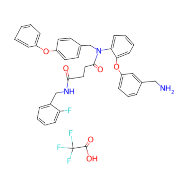 NCc1cccc(Oc2ccccc2N(Cc2ccc(Oc3ccccc3)cc2)C(=O)CCC(=O)NCc2ccccc2F)c1.O=C(O)C(F)(F)F